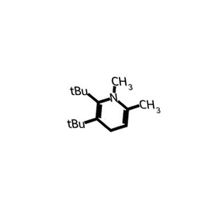 CC1=CCC(C(C)(C)C)=C(C(C)(C)C)N1C